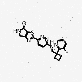 O=C1NCc2nc(-c3ccc(NCC4(c5ncccc5F)CCC4)nn3)sc21